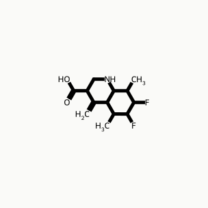 C=C1C(C(=O)O)CNC2C(C)C(F)C(F)C(C)C12